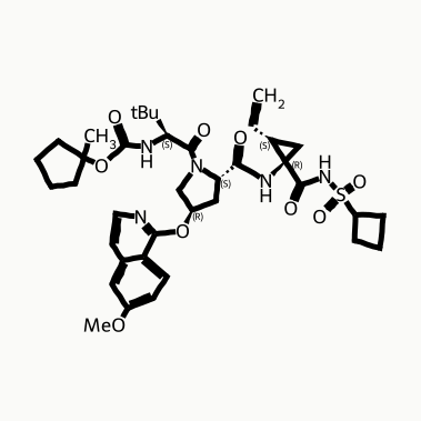 C=C[C@@H]1C[C@]1(NC(=O)[C@@H]1C[C@@H](Oc2nccc3cc(OC)ccc23)CN1C(=O)[C@@H](NC(=O)OC1(C)CCCC1)C(C)(C)C)C(=O)NS(=O)(=O)C1CCC1